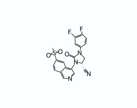 CS(=O)(=O)c1ccc2cncc(N3C(=O)N(c4ccc(F)c(F)c4)C[C@@H]3C#N)c2c1